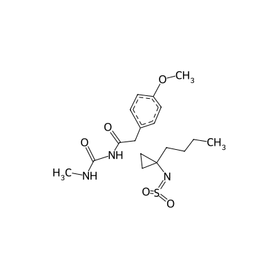 CCCCC1(N=S(=O)=O)CC1.CNC(=O)NC(=O)Cc1ccc(OC)cc1